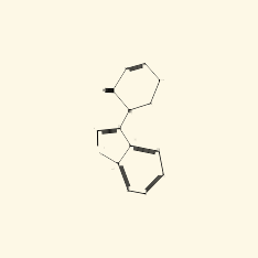 O=C1C=CCCC1c1c[nH]c2ccccc12